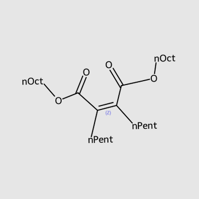 CCCCCCCCOC(=O)/C(CCCCC)=C(/CCCCC)C(=O)OCCCCCCCC